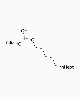 CCCCCCCCCCCCOP(O)OCCCC